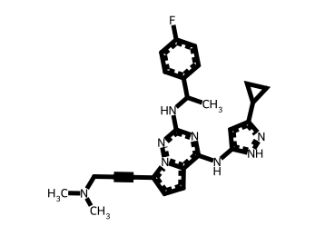 CC(Nc1nc(Nc2cc(C3CC3)n[nH]2)c2ccc(C#CCN(C)C)n2n1)c1ccc(F)cc1